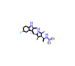 C=C(NN(CC)CC)c1c(C)[nH]c(/C=c2\c(=C)[nH]c3ccc(F)cc23)c1C